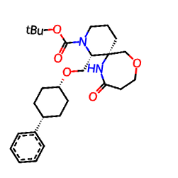 CC(C)(C)OC(=O)N1CCC[C@@]2(COCCC(=O)N2)[C@@H]1CO[C@H]1CC[C@@H](c2ccccc2)CC1